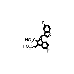 O=C(O)CC1c2cc(F)ccc2N(Cc2csc3ccc(F)cc23)C1C(=O)O